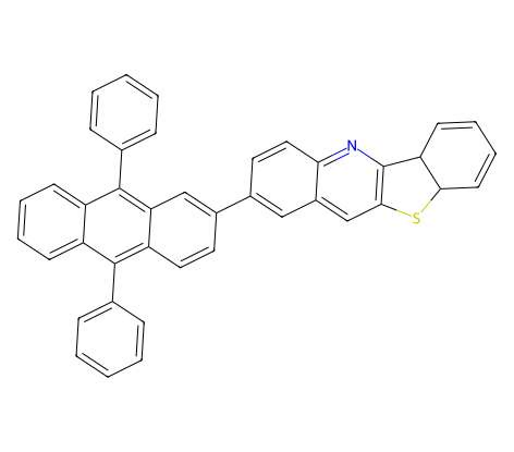 C1=CC2Sc3cc4cc(-c5ccc6c(-c7ccccc7)c7ccccc7c(-c7ccccc7)c6c5)ccc4nc3C2C=C1